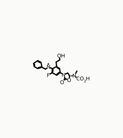 CN(Cc1ccccc1)c1c(F)cc(N2C[C@@H](N(C)C(=O)O)OC2=O)cc1CCO